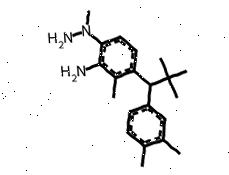 Cc1ccc(C(c2ccc(N(C)N)c(N)c2C)C(C)(C)C)cc1C